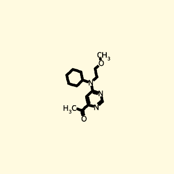 COCCN(c1cc(C(C)=O)ncn1)C1CCCCC1